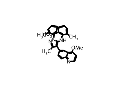 COc1ccnc2ccc(-c3c(C)nn(-c4ccccc4C)c3Nc3c(C)cccc3C(=O)O)cc12